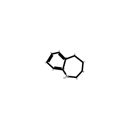 [c]1ccc2c(c1)CCCC[N]2